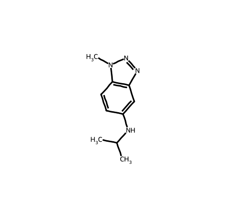 CC(C)Nc1ccc2c(c1)nnn2C